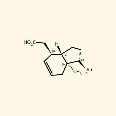 CC[C@H](C)[C@H]1CC[C@H]2[C@H](CC(=O)O)C=CC[C@]12C